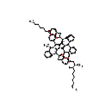 CCCCCCCC(I)C(C)COc1ccc(-c2c3/c(=C(/C#N)c4nc5ccccc5s4)n(B(C)c4ccccc4)c(-c4ccc(OCCCCCC)cc4)c3/c(=C(/C#N)c3nc4ccccc4s3)n2B(c2ccccc2)c2ccccc2)cc1